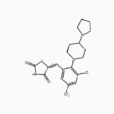 O=C1NC(=O)/C(=C\c2cc(C(F)(F)F)cc(Cl)c2N2CCC(N3CCCC3)CC2)S1